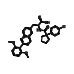 COc1cccc(OC)c1-c1ccc2cc(CC(NC(=O)C3(c4ccc(Cl)cc4)CCCC3)C(=O)O)ccc2n1